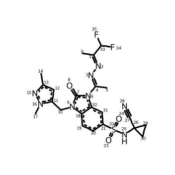 C/C(=N\N=C(/C)n1c(=O)n(Cc2cc(C)nn2C)c2ccc(S(=O)(=O)NC3(C#N)CC3)cc21)C(F)F